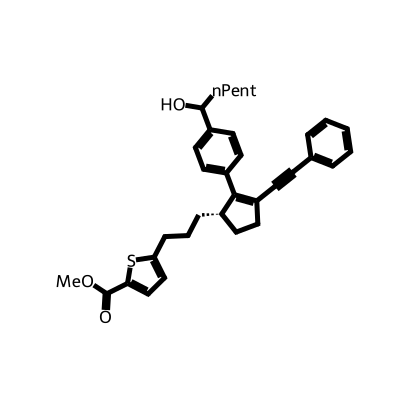 CCCCCC(O)c1ccc(C2=C(C#Cc3ccccc3)CC[C@@H]2CCCc2ccc(C(=O)OC)s2)cc1